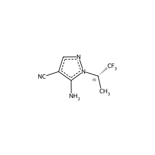 C[C@H](n1ncc(C#N)c1N)C(F)(F)F